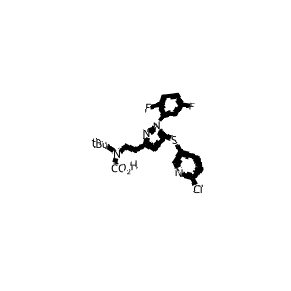 CC(C)(C)N(CCc1cc(Sc2ccc(Cl)nc2)n(-c2cc(F)ccc2F)n1)C(=O)O